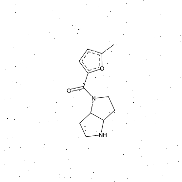 Cc1ccc(C(=O)N2CCC3NCCC32)o1